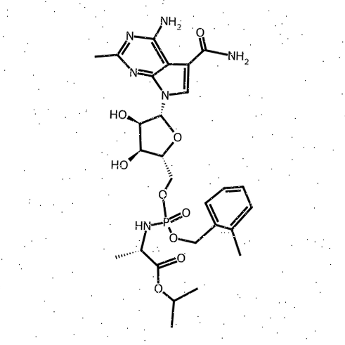 Cc1nc(N)c2c(C(N)=O)cn([C@@H]3O[C@H](COP(=O)(N[C@@H](C)C(=O)OC(C)C)OCc4ccccc4C)[C@@H](O)[C@H]3O)c2n1